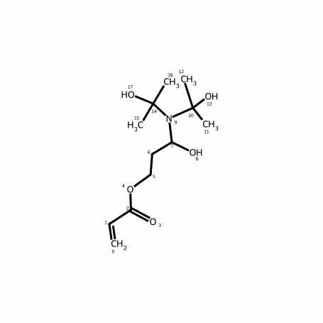 C=CC(=O)OCCC(O)N(C(C)(C)O)C(C)(C)O